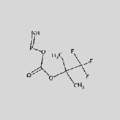 CC(C)(OC(=O)OP=N)C(F)(F)F